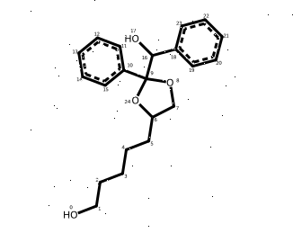 OCCCCCC1COC(c2ccccc2)(C(O)c2ccccc2)O1